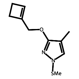 CSn1cc(C)c(OCC2=CCC2)n1